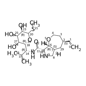 C=C[C@@H]1CCO[C@@H]2[C@H](CN[C@@H]2C(=O)N[C@H](C(C)C)[C@H]2OC(SC)[C@H](O)C(O)C2O)C1